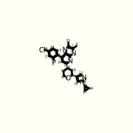 Cc1nc2nc([C@@H]3CCO[C@H](c4cnn(C5CC5)c4)C3)cc(-c3ccc(Cl)cc3F)c2nc1C